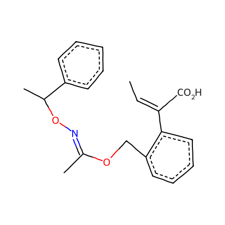 CC=C(C(=O)O)c1ccccc1COC(C)=NOC(C)c1ccccc1